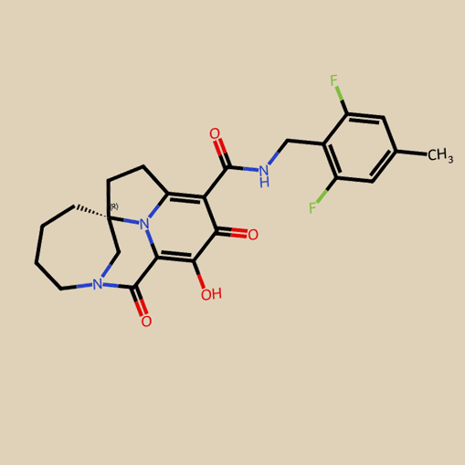 Cc1cc(F)c(CNC(=O)c2c3n4c(c(O)c2=O)C(=O)N2CCCC[C@@]4(CC3)C2)c(F)c1